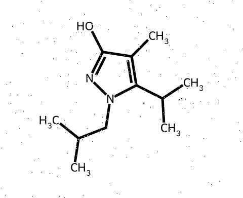 Cc1c(O)nn(CC(C)C)c1C(C)C